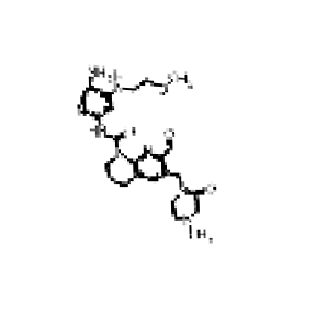 COCCNc1cc(NC(=O)N2CCCc3cc(CN4CCN(C)CC4=O)c(C=O)nc32)ncc1N